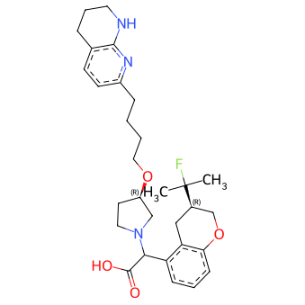 CC(C)(F)[C@H]1COc2cccc(C(C(=O)O)N3CC[C@@H](OCCCCc4ccc5c(n4)NCCC5)C3)c2C1